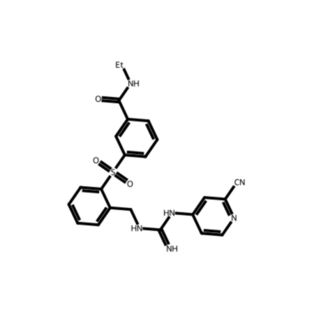 CCNC(=O)c1cccc(S(=O)(=O)c2ccccc2CNC(=N)Nc2ccnc(C#N)c2)c1